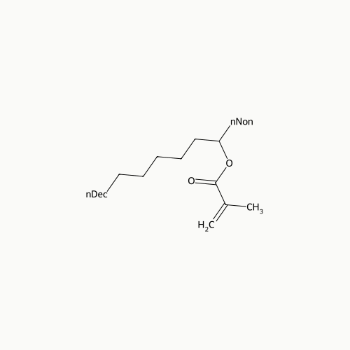 C=C(C)C(=O)OC(CCCCCCCCC)CCCCCCCCCCCCCCC